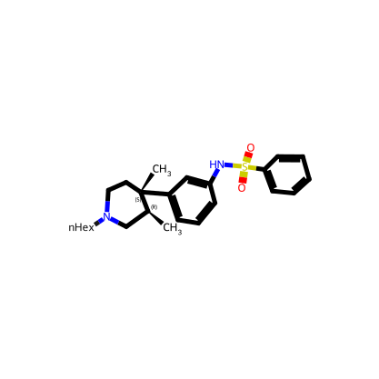 CCCCCCN1CC[C@](C)(c2cccc(NS(=O)(=O)c3ccccc3)c2)[C@@H](C)C1